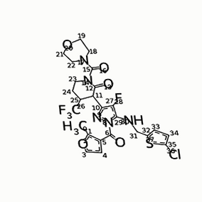 Cc1occc1C(=O)n1nc(C2C(=O)N(C(=O)N3CCOCC3)CCC2C(F)(F)F)c(F)c1NCc1ccc(Cl)s1